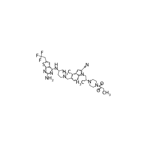 CCS(=O)(=O)N1CCN([C@@H](C)Cn2c(C#N)cc3c(C)c(CN4CCC(Nc5nc(N)nc6sc(CC(F)(F)F)cc56)CC4)ccc32)CC1